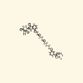 C[C@@H](N)c1cccc(OCCCCCOCCCOCCOc2cccc3c2CN(C2CCC(=O)NC2=O)C3=O)c1